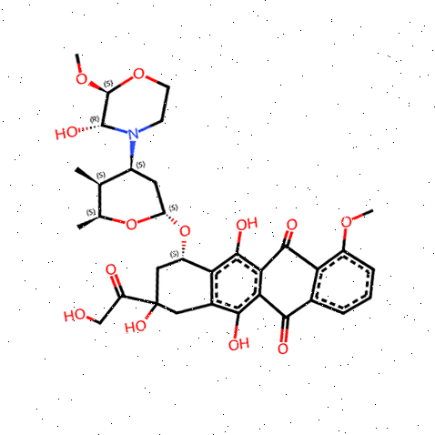 COc1cccc2c1C(=O)c1c(O)c3c(c(O)c1C2=O)CC(O)(C(=O)CO)C[C@@H]3O[C@H]1C[C@H](N2CCO[C@H](OC)[C@H]2O)[C@H](C)[C@H](C)O1